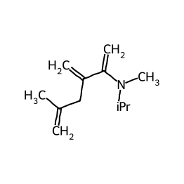 C=C(C)CC(=C)C(=C)N(C)C(C)C